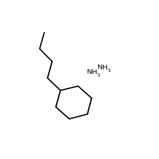 CCCCC1CCCCC1.N.N